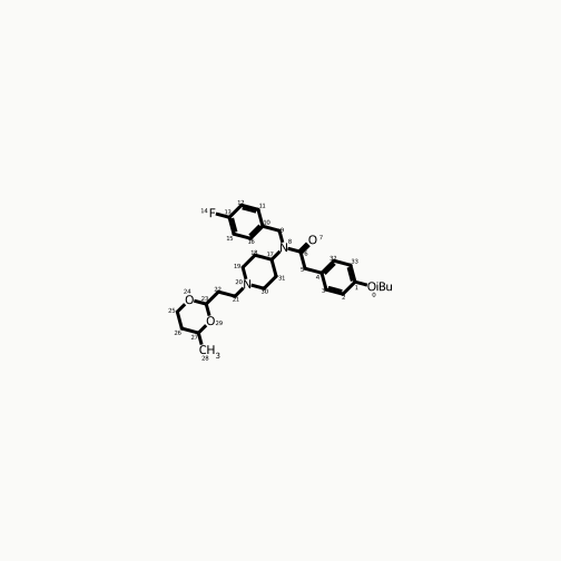 CC(C)COc1ccc(CC(=O)N(Cc2ccc(F)cc2)C2CCN(CCC3OCCC(C)O3)CC2)cc1